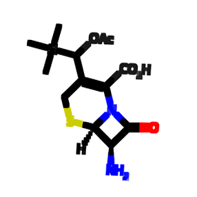 CC(=O)OC(C1=C(C(=O)O)N2C(=O)[C@@H](N)[C@H]2SC1)[Si](C)(C)C